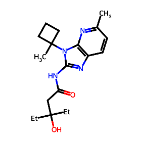 CCC(O)(CC)CC(=O)Nc1nc2ccc(C)nc2n1C1(C)CCC1